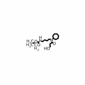 CC(C)(C)OC(=O)NCCCCN(C(=O)CCO)C1CCCCCC1